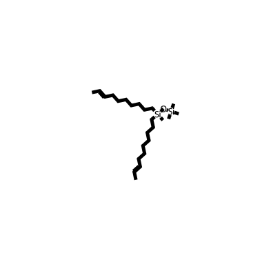 CC=CCCCCCCC[Si](C)(CCCCCCCC=CC)O[Si](C)(C)C